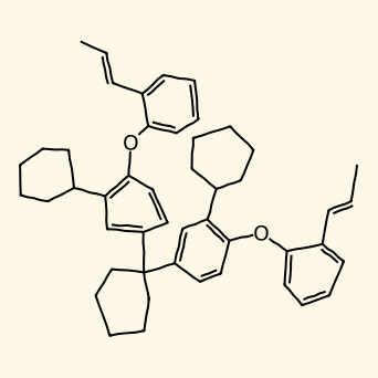 CC=Cc1ccccc1Oc1ccc(C2(c3ccc(Oc4ccccc4C=CC)c(C4CCCCC4)c3)CCCCC2)cc1C1CCCCC1